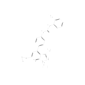 [C-]#[N+]c1ccccc1NC(=O)Nc1ccc(-c2cc(C3CC3)nc3c2c(N)nn3C)cc1